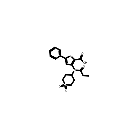 CCC(=O)N(c1cc(-c2ccccc2)sc1C(=O)O)C1CCS(=O)(=O)CC1